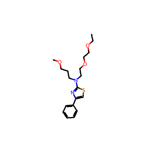 CCOCCOCCN(CCCOC)c1nc(-c2ccccc2)cs1